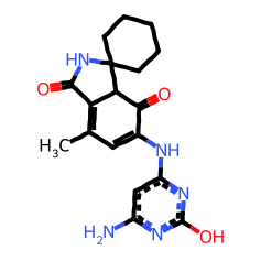 CC1=C2C(=O)NC3(CCCCC3)C2C(=O)C(Nc2cc(N)nc(O)n2)=C1